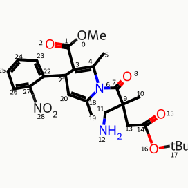 COC(=O)C1=C(C)N(C(=O)C(C)(CN)CC(=O)OC(C)(C)C)C(C)=CC1c1ccccc1[N+](=O)[O-]